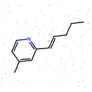 CCC/C=C/c1cc(C)ccn1